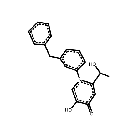 CC(O)c1cc(=O)c(O)cn1-c1cccc(Cc2ccccc2)c1